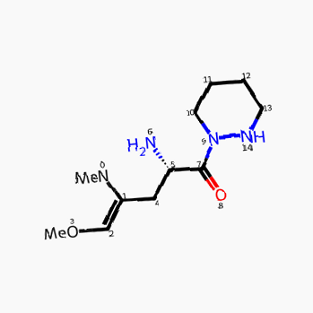 CN/C(=C\OC)C[C@H](N)C(=O)N1CCCCN1